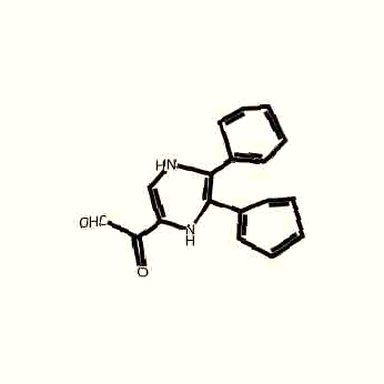 O=CC(=O)C1=CNC(c2ccccc2)=C(c2ccccc2)N1